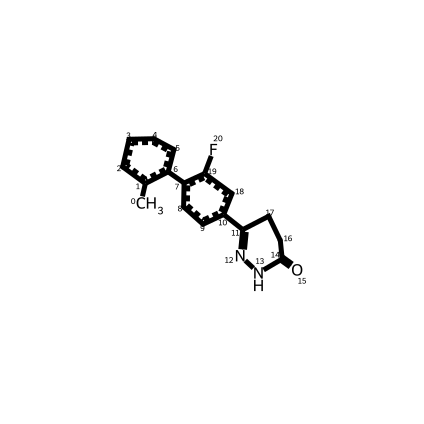 Cc1ccccc1-c1ccc(C2=NNC(=O)CC2)cc1F